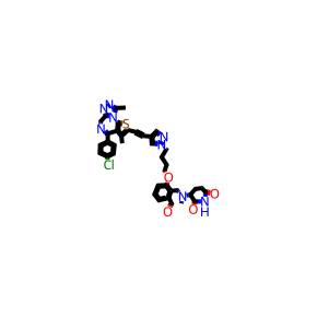 Cc1c(C#Cc2cnn(CCCCOc3cccc(C=O)c3CN(C)C3CCC(=O)NC3=O)c2)sc2c1C(c1ccc(Cl)cc1)=NCc1nnc(C)n1-2